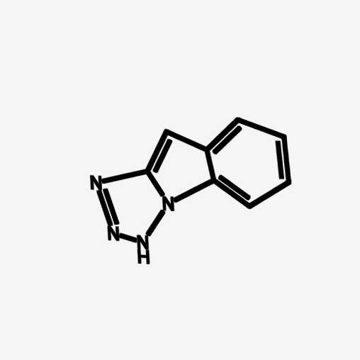 c1ccc2c(c1)cc1nn[nH]n12